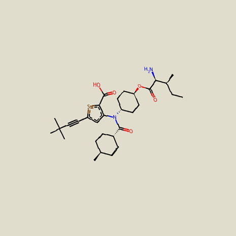 CC[C@H](C)[C@H](N)C(=O)O[C@H]1CC[C@H](N(c2cc(C#CC(C)(C)C)sc2C(=O)O)C(=O)[C@H]2CC[C@H](C)CC2)CC1